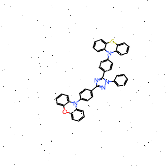 c1ccc(-n2nc(-c3ccc(N4c5ccccc5Oc5ccccc54)cc3)nc2-c2ccc(N3c4ccccc4Sc4ccccc43)cc2)cc1